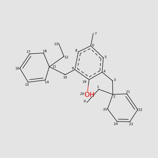 CCC1(Cc2cc(C)cc(CC3(CC)C=CC=CC3)c2O)C=CC=CC1